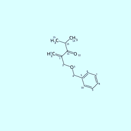 C=C(COCc1ccccc1)C(=O)C(C)C